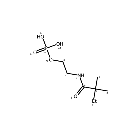 CCC(C)(C)C(=O)NCCOP(=O)(O)O